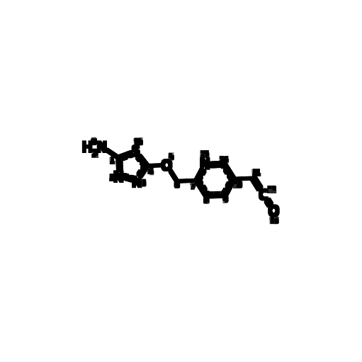 Nc1nnc(OCc2ccc(C=C=O)cn2)s1